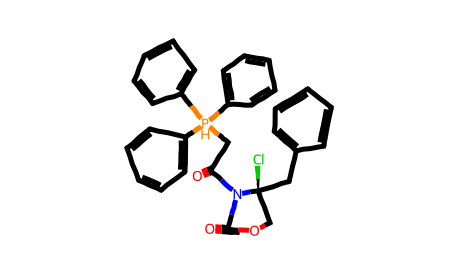 O=C(C[PH](c1ccccc1)(c1ccccc1)c1ccccc1)N1C(=O)OC[C@@]1(Cl)Cc1ccccc1